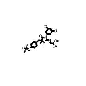 COC(CN=C1NC(C)(Cc2ccc(OC(F)(F)F)cc2)C(=O)N1c1cc(Cl)cc(Cl)c1)OC